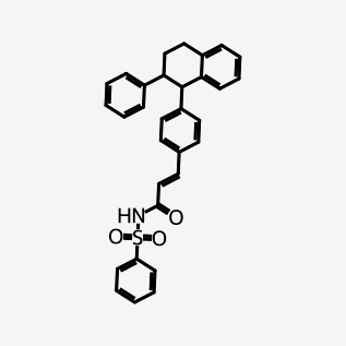 O=C(C=Cc1ccc(C2c3ccccc3CCC2c2ccccc2)cc1)NS(=O)(=O)c1ccccc1